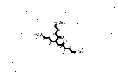 CCCCCCCCCCCCCC(=O)CC(CCCC(=O)O)C(=O)CCCCCCCCCCCCC